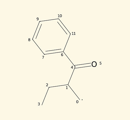 [CH2]C(CC)C(=O)c1ccccc1